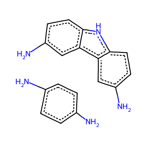 Nc1ccc(N)cc1.Nc1ccc2[nH]c3ccc(N)cc3c2c1